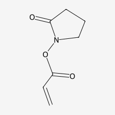 C=CC(=O)ON1CCCC1=O